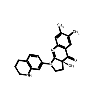 Cc1cc2c(cc1C)C(=O)[C@]1(O)CCN(c3ccc4c(c3)NCCC4)C1=N2